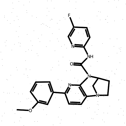 COc1cccc(-c2ccc3c(n2)N(C(=O)Nc2ccc(F)cn2)C2CCN3C2)c1